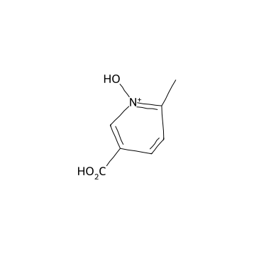 Cc1ccc(C(=O)O)c[n+]1O